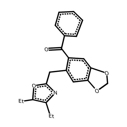 CCc1nc(Cc2cc3c(cc2C(=O)c2ccccc2)OCO3)oc1CC